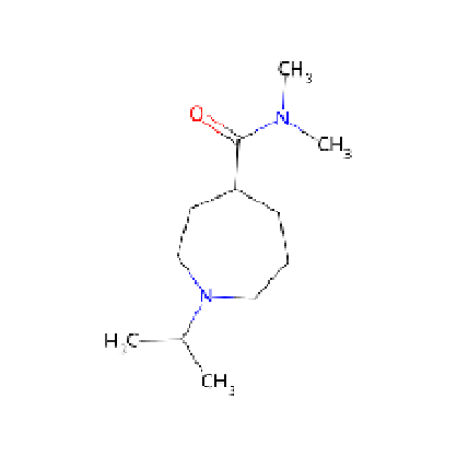 CC(C)N1CCCC(C(=O)N(C)C)CC1